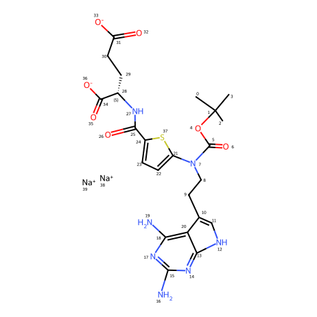 CC(C)(C)OC(=O)N(CCc1c[nH]c2nc(N)nc(N)c12)c1ccc(C(=O)N[C@@H](CCC(=O)[O-])C(=O)[O-])s1.[Na+].[Na+]